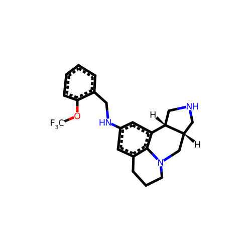 FC(F)(F)Oc1ccccc1CNc1cc2c3c(c1)[C@@H]1CNC[C@@H]1CN3CCC2